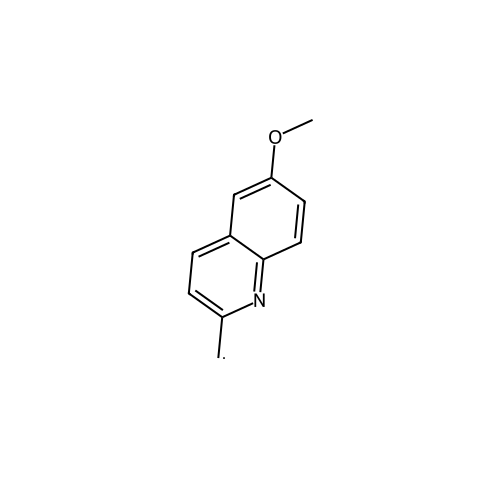 [CH2]c1ccc2cc(OC)ccc2n1